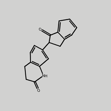 O=C1CCc2ccc(C3Cc4ccccc4C3=O)cc2N1